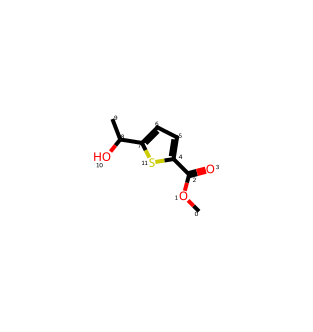 COC(=O)c1ccc(C(C)O)s1